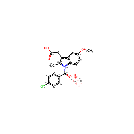 COc1ccc2c(c1)c(CC(=O)O)c(C)n2C(=O)c1ccc(Cl)cc1.O.O.O